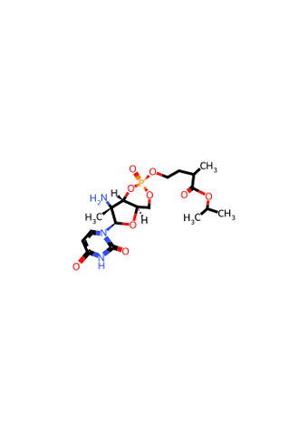 CC(C)OC(=O)C(C)CCO[P@@]1(=O)OC[C@H]2O[C@@H](n3ccc(=O)[nH]c3=O)[C@](C)(N)[C@@H]2O1